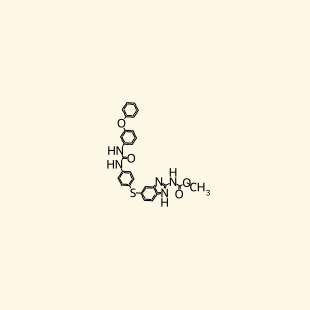 COC(=O)Nc1nc2cc(Sc3ccc(NC(=O)Nc4cccc(Oc5ccccc5)c4)cc3)ccc2[nH]1